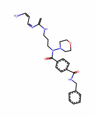 C=C(/N=C\C=C/N)NCCCN(C(=O)c1ccc(C(=O)NCc2ccccc2)cc1)N1CCOCC1